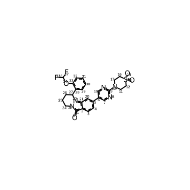 O=c1c2ccc(-c3cnc(N4CCS(=O)(=O)CC4)nc3)cc2n2n1CCCC2c1ccccc1OC(F)F